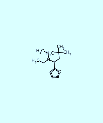 CCN(CC)C(CC(C)(C)C)c1ccco1